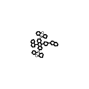 c1ccc2c(c1)Oc1ccccc1N2c1ccc2c(-c3cccc4ccccc34)c3cc(N4c5ccccc5Oc5ccccc54)ccc3c(-c3ccc(-c4ccc5ccccc5c4)cc3)c2c1